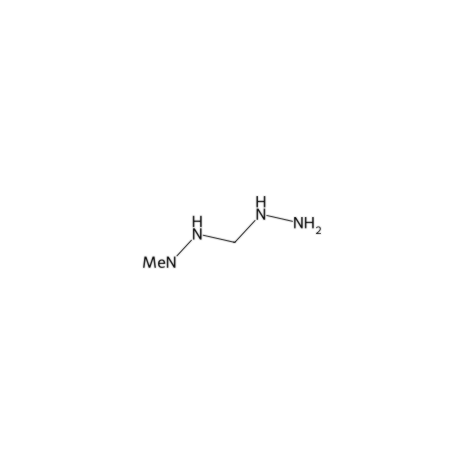 CNNCNN